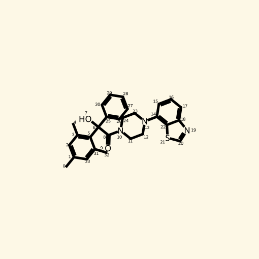 Cc1cc(C)c(C(O)(C(=O)N2CCN(c3cccc4ncsc34)CC2)c2ccccc2)c(C)c1